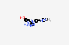 CN1CCN(CCC2CCC(n3nc(-c4cc5cc(O)ccc5[nH]4)c4c(N)ncnc43)CC2)CC1